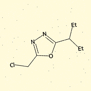 CCC(CC)c1nnc(CCl)o1